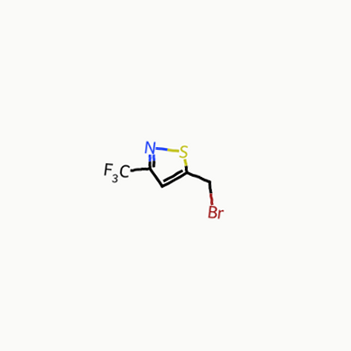 FC(F)(F)c1cc(CBr)sn1